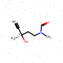 C#C[C@](C)(O)CCN(C)C=O